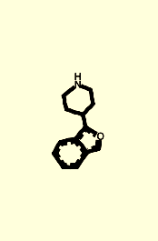 c1ccc2c(C3CCNCC3)occ2c1